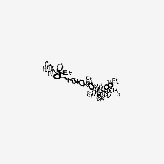 CCOc1cc(N2CCC(N3CCN(CCc4cccc5c4n(CC)c(=O)n5C4CCC(=O)NC4=O)CC3)CC2)c(CC)cc1Nc1ncc(Br)c(Nc2ccc3nc(CC)ccc3c2P(C)(C)=O)n1